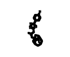 CN(Cc1nnc(-c2ccc(F)cc2)o1)CC12CC3CC4CC(C1)C2(C4)C3